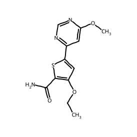 CCOc1cc(-c2cc(OC)ncn2)sc1C(N)=O